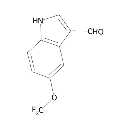 O=Cc1c[nH]c2ccc(OC(F)(F)F)cc12